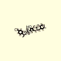 CC(CNS(=O)(=O)c1ccc(CN(Cc2ccncc2)C(=O)C(=O)O)s1)c1ccc(Cl)cc1